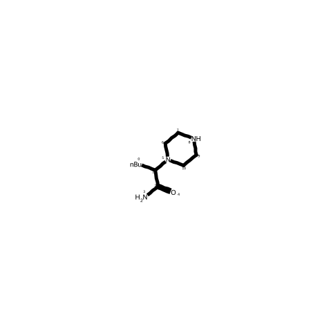 CCCCC(C(N)=O)N1CCNCC1